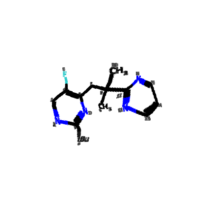 CC(C)(C)c1ncc(F)c(CC(C)(C)c2ncccn2)n1